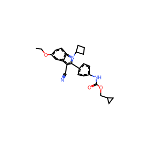 CCOc1ccc2c(c1)c(C#N)c(-c1ccc(NC(=O)OCC3CC3)cc1)n2C1CCC1